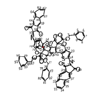 O=C(OCc1ccccc1)C1(C(=O)OCc2ccccc2)Oc2cc(N=c3c(=O)c4cc5ccccc5cc4c3=O)sc2-c2sc3c4c(sc3c21)-c1sc(N=c2c(=O)c3cc5ccccc5cc3c2=O)cc1OC4(C(=O)OCc1ccccc1)C(=O)OCc1ccccc1